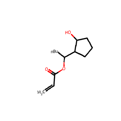 C=CC(=O)OC(CCCC)C1CCCC1O